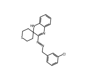 Clc1cccc(CN=NC2=Nc3ccccc3NC23CCSCC3)c1